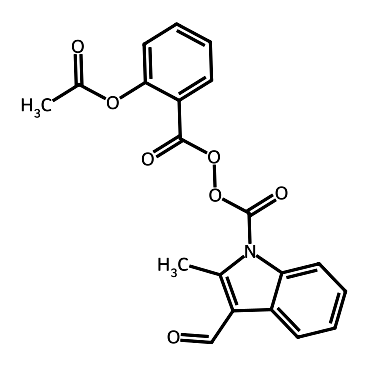 CC(=O)Oc1ccccc1C(=O)OOC(=O)n1c(C)c(C=O)c2ccccc21